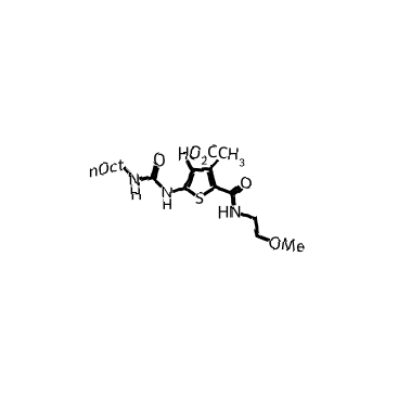 CCCCCCCCNC(=O)Nc1sc(C(=O)NCCOC)c(C)c1C(=O)O